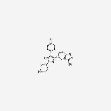 CC(C)c1nnc2ccc(-c3nc(C4CCNCC4)[nH]c3-c3ccc(F)cc3)cn12